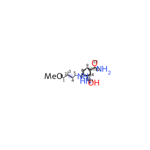 COC/C(C)=C/CNc1ccc(C(N)=O)cc1NO